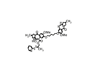 C=C1C[C@H]2C=Nc3cc(OCCCCCOc4cc5c(cc4OC)C(=O)N4CC(=C)C[C@H]4[C@H](O)N5C(=O)OC[C@@H](C)SSc4ccccn4)c(OC)cc3C(=O)N2C1